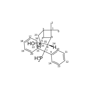 CC1(C)C2CC1[C@H](C(P)(c1ccccc1)c1ccccc1)[C@H](O)C2